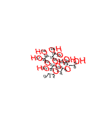 CCCOCCOCCO.O=C(O)C(O)C(O)C(=O)O.OCCOCCO